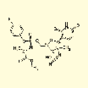 COC(=O)[C@H](C)NP(=O)(OC[C@H]1O[C@@H](n2ccc(=O)[nH]c2=O)[C@](C)(N=[N+]=[N-])[C@@H]1O)Oc1ccc(F)cc1